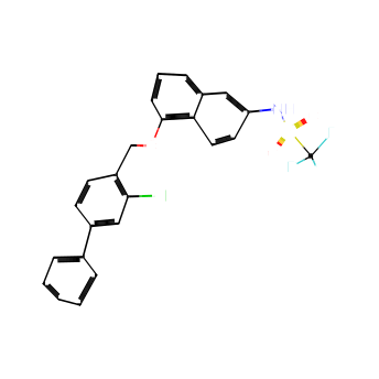 O=S(=O)(Nc1ccc2c(OCc3ccc(-c4ccccc4)cc3Cl)cccc2c1)C(F)(F)F